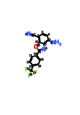 N#Cc1ccc(N)c2nc(-c3ccc(C(F)(F)F)cc3)oc12